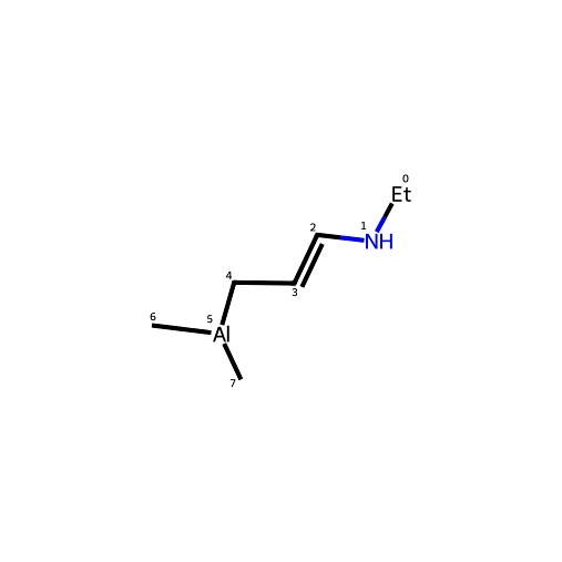 CCNC=C[CH2][Al]([CH3])[CH3]